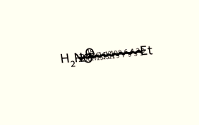 CC/C=C/C/C=C/C/C=C/C/C=C/C/C=C/CCCC(=O)OCCN